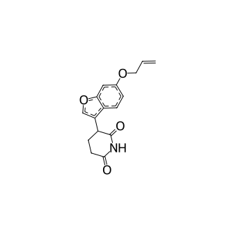 C=CCOc1ccc2c(C3CCC(=O)NC3=O)coc2c1